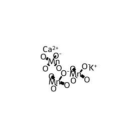 [Ca+2].[K+].[O]=[Mn](=[O])(=[O])[O-].[O]=[Mn](=[O])(=[O])[O-].[O]=[Mn](=[O])(=[O])[O-]